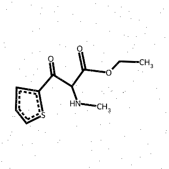 CCOC(=O)C(NC)C(=O)c1cccs1